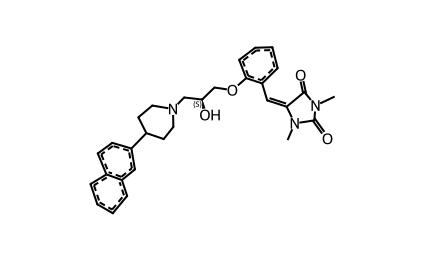 CN1C(=O)C(=Cc2ccccc2OC[C@@H](O)CN2CCC(c3ccc4ccccc4c3)CC2)N(C)C1=O